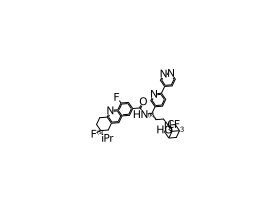 CC(C)[C@]1(F)CCc2nc3c(F)cc(C(=O)N[C@H](CCN4CC5CC(C4)C5(O)C(F)(F)F)c4ccc(-c5ccnnc5)nc4)cc3cc2C1